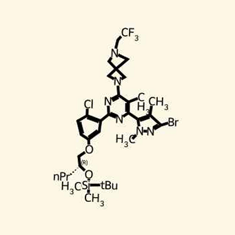 CCC[C@H](COc1ccc(Cl)c(-c2nc(-c3c(C)c(Br)nn3C)c(C)c(N3CC4(CN(CC(F)(F)F)C4)C3)n2)c1)O[Si](C)(C)C(C)(C)C